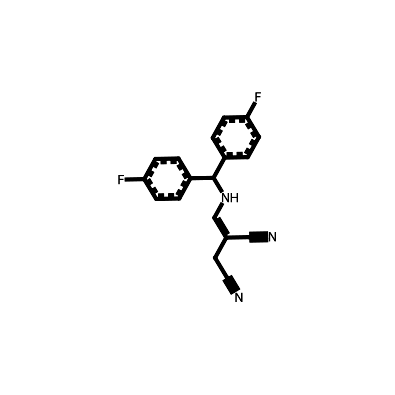 N#CCC(C#N)=CNC(c1ccc(F)cc1)c1ccc(F)cc1